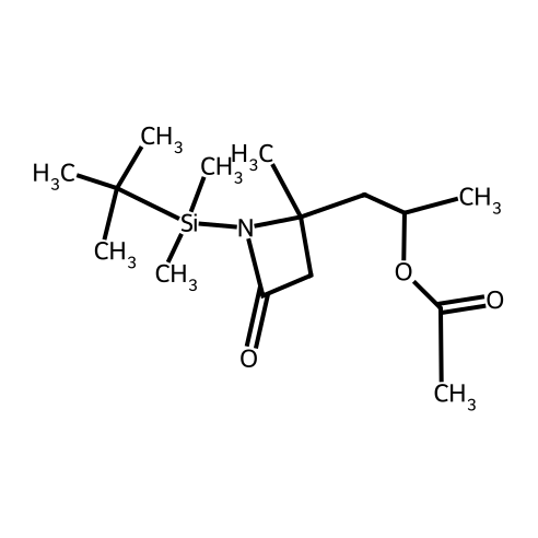 CC(=O)OC(C)CC1(C)CC(=O)N1[Si](C)(C)C(C)(C)C